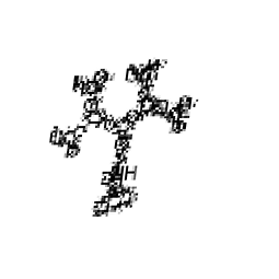 COc1cc(CCc2cc(COc3cc(COCCCCNC(=O)OCc4c5ccccc5cc5ccccc45)cc(OCc4cc(OCc5cc(OC)cc(OC)c5)cc(OCc5cc(OC)cc(OC)c5)c4)c3)cc(OCc3cc(OC)cc(OC)c3)c2)cc(OC)c1